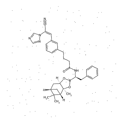 CC1(C)[C@@H]2C[C@H]3OB([C@H](Cc4ccccc4)NC(=O)CCCc4cccc(C=C(C#N)n5cncn5)c4)O[C@@]3(C)[C@H]1C2